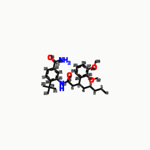 CCCCCC(CC(=O)Nc1cc(C(N)=O)ccc1C(C)(C)C)c1cccc(OC)c1OC